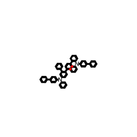 C1=CC(N(c2ccccc2)c2ccc(-c3ccccc3)cc2)=C(c2ccc(-c3ccc(N(c4ccccc4)c4ccc(-c5ccccc5)cc4)cc3-c3ccccc3)cc2)CC1